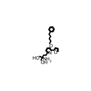 NC(CO)(CO)CCc1ccc(OCCCCCc2ccccc2)c(-c2ccco2)n1